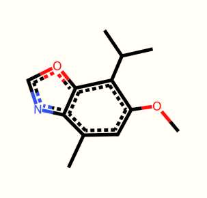 COc1cc(C)c2ncoc2c1C(C)C